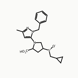 Cc1cc(N2CC([S+]([O-])CC3CC3)CC2C(=O)O)n(Cc2ccccc2)n1